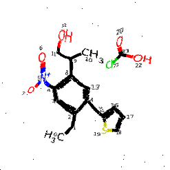 CCc1cc([N+](=O)[O-])c(C(C)CO)cc1-c1cccs1.O=C(O)Cl